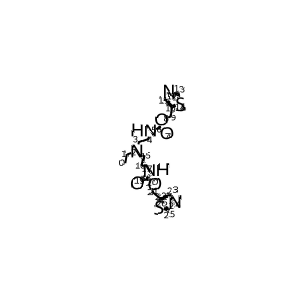 CCN(CCNC(=O)OCc1cncs1)CCNC(=O)OCc1cncs1